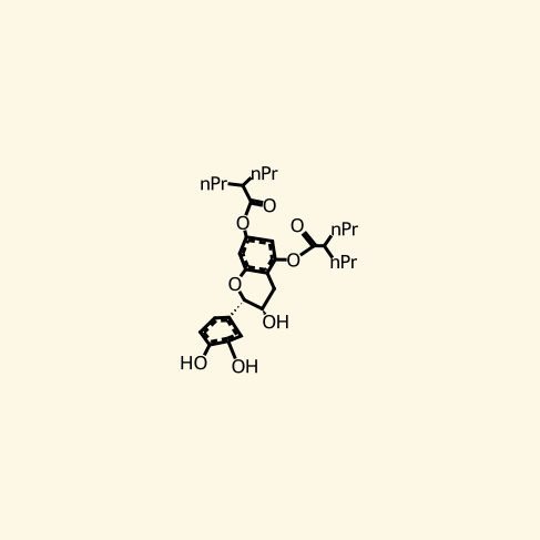 CCCC(CCC)C(=O)Oc1cc(OC(=O)C(CCC)CCC)c2c(c1)O[C@@H](c1ccc(O)c(O)c1)[C@@H](O)C2